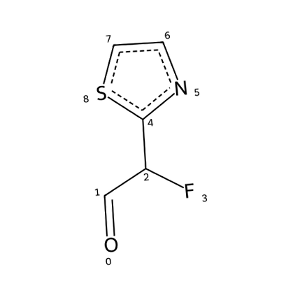 O=CC(F)c1nccs1